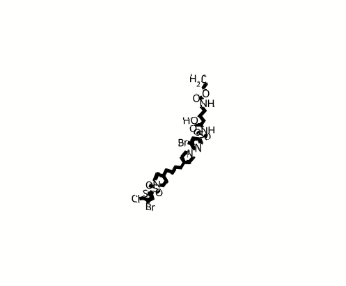 C=CCOC(=O)NCCCCC(NS(=O)(=O)c1cnc(N2CCC(CCCCC3CCN(S(=O)(=O)c4cc(Br)c(Cl)s4)CC3)CC2)c(Br)c1)C(=O)O